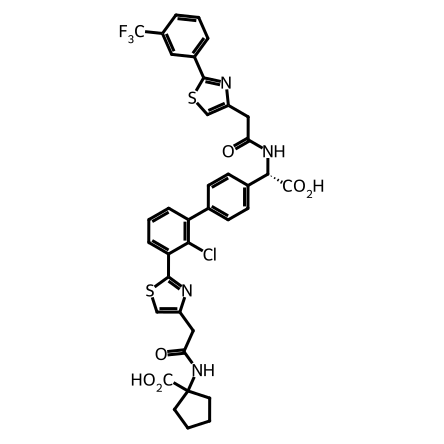 O=C(Cc1csc(-c2cccc(C(F)(F)F)c2)n1)N[C@H](C(=O)O)c1ccc(-c2cccc(-c3nc(CC(=O)NC4(C(=O)O)CCCC4)cs3)c2Cl)cc1